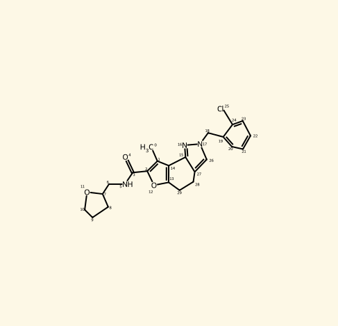 Cc1c(C(=O)NCC2CCCO2)oc2c1-c1nn(Cc3ccccc3Cl)cc1CC2